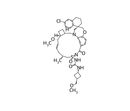 COC[C@H]1C[C@@H](NC(=O)N[S@@]2(=O)=NC(=O)c3ccc4c(c3)N(C[C@@H]3CC[C@H]3[C@@H](OC)/C=C/C[C@H](C)C2)C[C@@]2(CCCc3cc(Cl)ccc32)CO4)C1